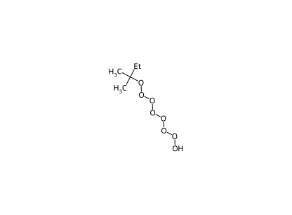 CCC(C)(C)OOOOOOOO